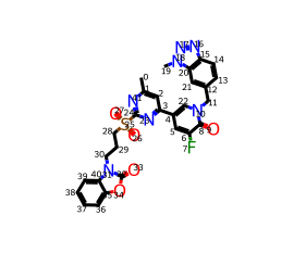 Cc1cc(-c2cc(F)c(=O)n(Cc3ccc4nnn(C)c4c3)c2)nc(S(=O)(=O)CCCn2c(=O)oc3ccccc32)n1